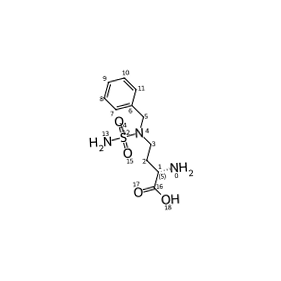 N[C@@H](CCN(Cc1ccccc1)S(N)(=O)=O)C(=O)O